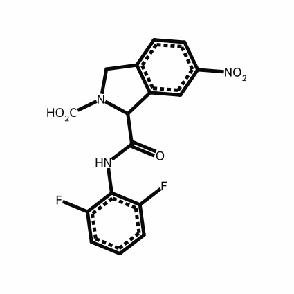 O=C(Nc1c(F)cccc1F)C1c2cc([N+](=O)[O-])ccc2CN1C(=O)O